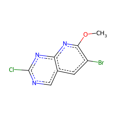 COc1nc2nc(Cl)ncc2cc1Br